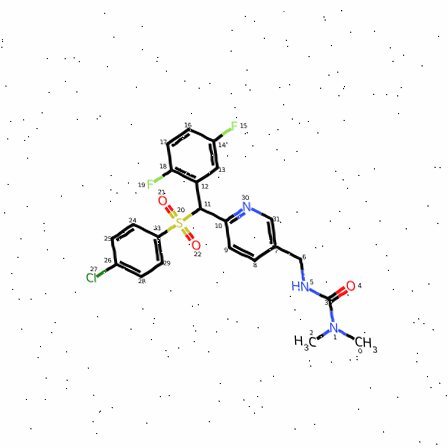 CN(C)C(=O)NCc1ccc(C(c2cc(F)ccc2F)S(=O)(=O)c2ccc(Cl)cc2)nc1